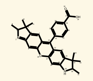 CC1N=c2cc3c(cc2C1(C)C)=C(c1ccc(C(=O)O)cc1)c1cc2c(cc1O3)NC(C)C2(C)C